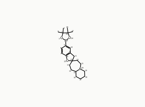 CC1(C)OB(c2ccc3c(c2)CC2(CCC4CCCCN4CC2)O3)OC1(C)C